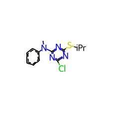 CC(C)Sc1nc(Cl)nc(N(C)c2ccccc2)n1